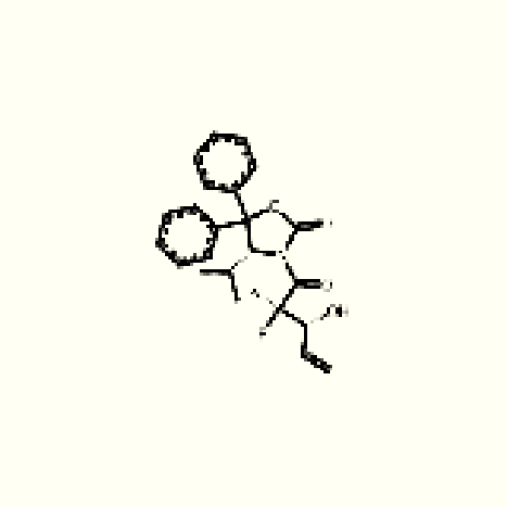 C=C[C@@H](O)[C@@](C)(F)C(=O)N1C(=O)OC(c2ccccc2)(c2ccccc2)[C@H]1C(C)C